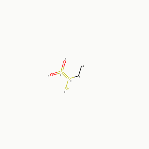 CCS(S)=S(=O)=O